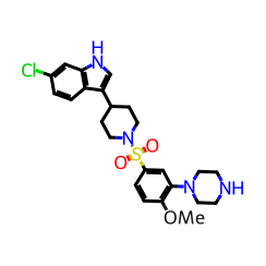 COc1ccc(S(=O)(=O)N2CCC(c3c[nH]c4cc(Cl)ccc34)CC2)cc1N1CCNCC1